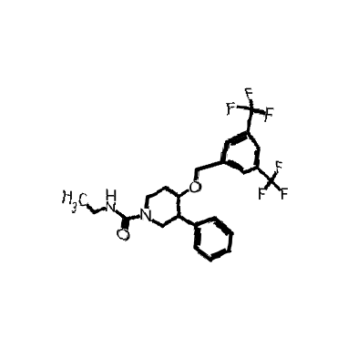 CCNC(=O)N1CCC(OCc2cc(C(F)(F)F)cc(C(F)(F)F)c2)C(c2ccccc2)C1